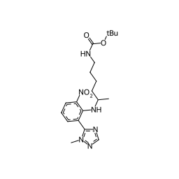 CC(CCCCNC(=O)OC(C)(C)C)Nc1c(-c2ncnn2C)cccc1[N+](=O)[O-]